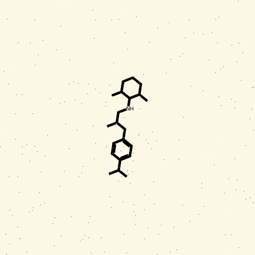 CC(CNC1C(C)CCCC1C)Cc1ccc(C(C)C)cc1